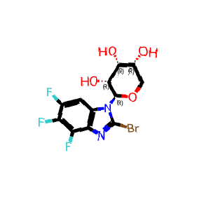 O[C@@H]1[C@H](O)[C@H](O)CO[C@H]1n1c(Br)nc2c(F)c(F)c(F)cc21